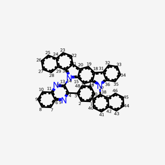 c1ccc(-c2nc3ccccc3nc2-n2c3cc4c(cc3c3ccc5ccccc5c32)c2ccccc2n4-c2cccc3ccccc23)cc1